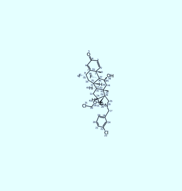 C[C@]12C=CC(=O)C=C1[C@@H](F)C[C@H]1[C@@H]3C[C@H]4CN(Cc5cccc(Cl)c5)C[C@@]4(C(=O)OCCl)[C@@]3(C)C[C@H](O)[C@@]12F